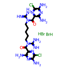 Br.Br.N=C(N)N(CCCCCN(C(=N)N)C(=O)c1nc(Cl)c(N)nc1N)C(=O)c1nc(Cl)c(N)nc1N